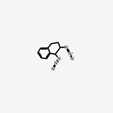 [N-]=[N+]=NC1CCc2ccccc2C1N=[N+]=[N-]